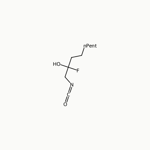 CCCCCCCC(O)(F)CN=C=O